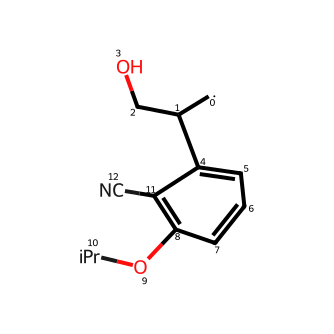 [CH2]C(CO)c1cccc(OC(C)C)c1C#N